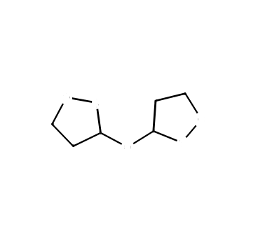 C1CC(OC2CCOS2)SO1